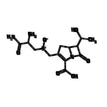 CC(O)C1C(=O)N2C(C(=O)O)=C(C[S+]([O-])CC(N)C(N)=O)CC12